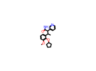 COc1cccc(C(C)C(C(N)=O)c2cccnc2)c1OC1CCCC1